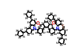 O=c1c2ccc3c(=O)c4c(-n5c6ccc(-c7ccccc7)cc6c6cc(-c7ccccc7)ccc65)cccc4c3c2c2cccc(N3c4cc(-c5ccccc5)ccc4Sc4ccc(-c5ccccc5)cc43)c12